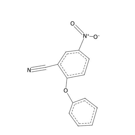 N#Cc1cc([N+](=O)[O-])ccc1Oc1ccccc1